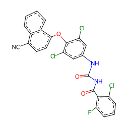 N#Cc1ccc(Oc2c(Cl)cc(NC(=O)NC(=O)c3c(F)cccc3Cl)cc2Cl)c2ccccc12